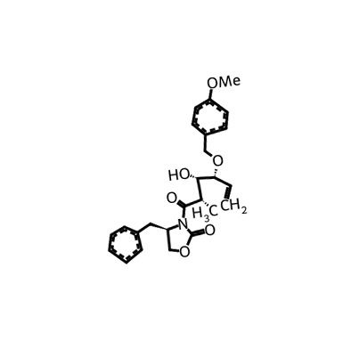 C=C[C@@H](OCc1ccc(OC)cc1)[C@@H](O)[C@H](C)C(=O)N1C(=O)OC[C@H]1Cc1ccccc1